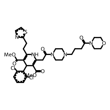 COC(=O)C1=C(CCc2nccs2)NC(CC(=O)N2CCN(CCCC(=O)N3CCOCC3)CC2)=C(C(=O)OC)C1c1c(Cl)cccc1Cl